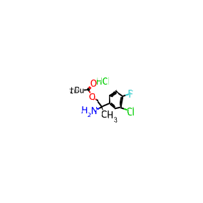 CC(C)(C)C(=O)OCC(C)(N)c1ccc(F)c(Cl)c1.Cl